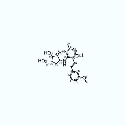 COc1cccc(/C=C/c2c(Cl)nc(C)nc2N[C@@H]2C[C@H](CO)[C@@H](O)[C@H]2O)c1